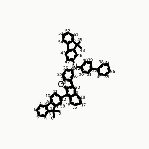 CC1(C)c2ccccc2-c2ccc(-c3c4ccccc4cc4c3oc3ccc(N(c5ccc(-c6ccccc6)cc5)c5ccc6c(c5)C(C)(C)c5ccccc5-6)cc34)cc21